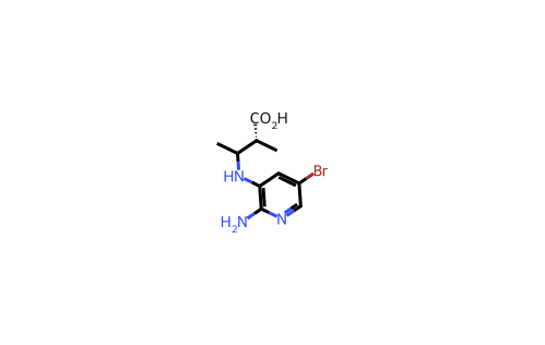 CC(Nc1cc(Br)cnc1N)[C@@H](C)C(=O)O